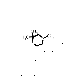 CN1CCSC(C)(C)C1